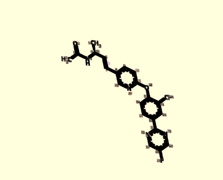 CC(=O)N[C@@H](C)/C=C/c1ccc(Oc2ccc(-c3ncc(F)cn3)cc2Cl)nc1